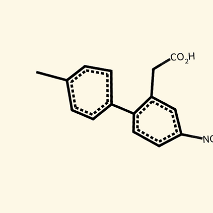 Cc1ccc(-c2ccc([N+](=O)[O-])cc2CC(=O)O)cc1